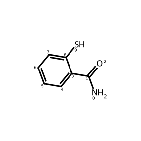 NC(=O)c1ccccc1S